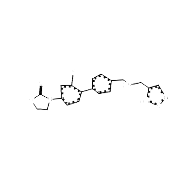 O=C1OCCN1c1ccc(-c2ccc(CNCc3cnn[nH]3)cc2)c(F)c1